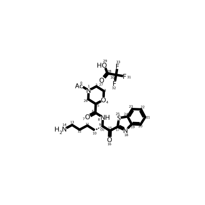 CC(=O)N1CCOC(C(=O)N[C@@H](CCCCN)C(=O)c2nc3ccccc3s2)C1.O=C(O)C(F)(F)F